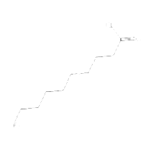 CC(C)CCCCCCCCC(=O)Cl